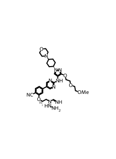 COCCOCCOc1nn([C@H]2CC[C@H](N3CCOCC3)CC2)cc1Nc1ncc(-c2ccc(C#N)c(O[C@@H](C)CN(C=N)NN)c2)cn1